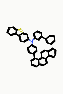 c1ccc(-c2cccc(N(c3ccc(-c4cccc5ccc6c7ccccc7ccc6c45)cc3)c3ccc4c(c3)sc3ccccc34)c2)cc1